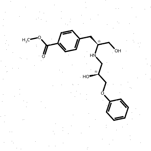 COC(=O)c1ccc(C[C@@H](CO)NC[C@H](O)COc2ccccc2)cc1